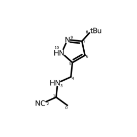 CC(C#N)NCc1cc(C(C)(C)C)n[nH]1